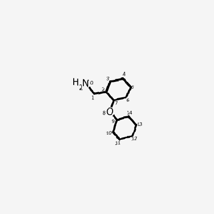 NCC1CCCCC1OC1CCCCC1